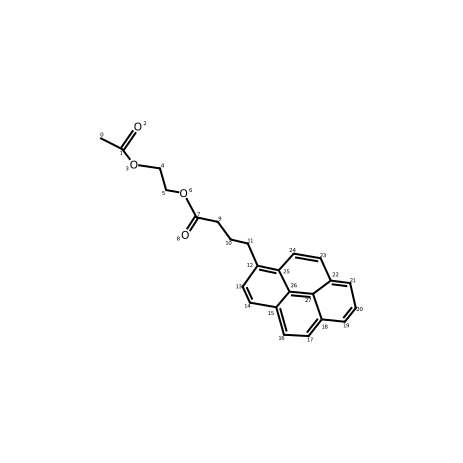 CC(=O)OCCOC(=O)CCCc1ccc2ccc3cccc4ccc1c2c34